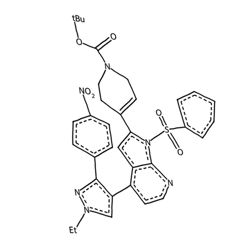 CCn1cc(-c2ccnc3c2cc(C2=CCN(C(=O)OC(C)(C)C)CC2)n3S(=O)(=O)c2ccccc2)c(-c2ccc([N+](=O)[O-])cc2)n1